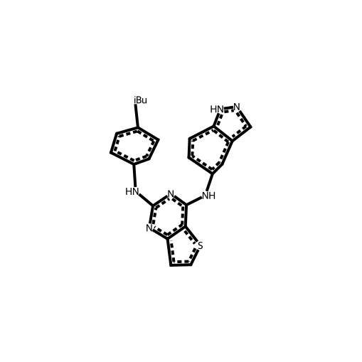 CCC(C)c1ccc(Nc2nc(Nc3ccc4[nH]ncc4c3)c3sccc3n2)cc1